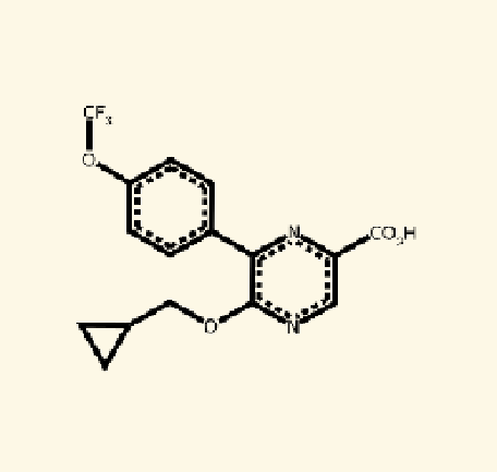 O=C(O)c1cnc(OCC2CC2)c(-c2ccc(OC(F)(F)F)cc2)n1